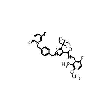 COc1ccc(F)c(CN(F)C(=O)c2cn(Cc3ccc(Cn4cc(F)ccc4=O)cc3)nc2C2(C)COC2)c1P